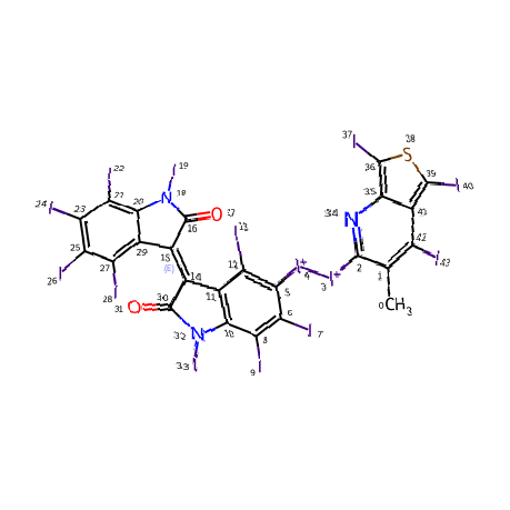 Cc1c([I+][I+]c2c(I)c(I)c3c(c2I)/C(=C2\C(=O)N(I)c4c(I)c(I)c(I)c(I)c42)C(=O)N3I)nc2c(I)sc(I)c2c1I